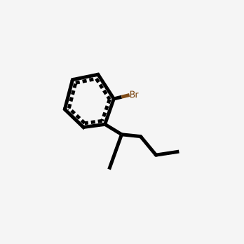 CCCC(C)c1[c]cccc1Br